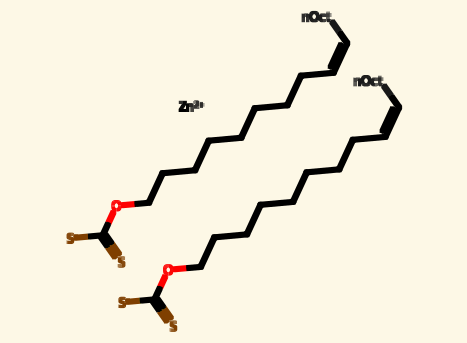 CCCCCCCC/C=C\CCCCCCCCOC(=S)[S-].CCCCCCCC/C=C\CCCCCCCCOC(=S)[S-].[Zn+2]